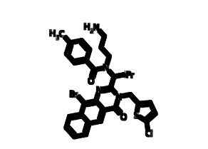 Cc1ccc(C(=O)N(CCCN)C(c2nc3c(Br)c4ccccc4cc3c(=O)n2Cc2ccc(Cl)s2)C(C)C)cc1